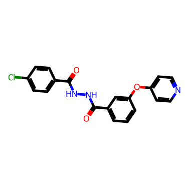 O=C(NNC(=O)c1cccc(Oc2ccncc2)c1)c1ccc(Cl)cc1